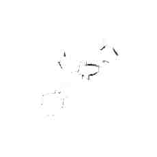 O=C(O)C(=O)O.c1ccc(-c2cnn(CCCN3CCCCCC3)n2)cc1